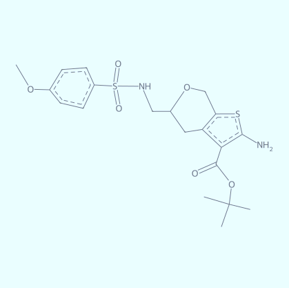 COc1ccc(S(=O)(=O)NCC2Cc3c(sc(N)c3C(=O)OC(C)(C)C)CO2)cc1